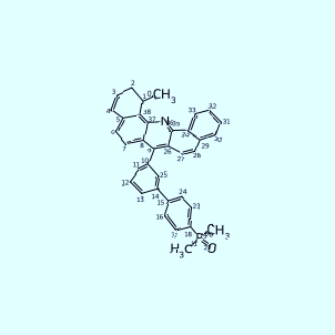 CC1CC=Cc2ccc3c(-c4cccc(-c5ccc(P(C)(C)=O)cc5)c4)c4ccc5ccccc5c4nc3c21